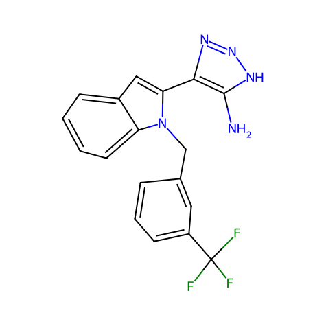 Nc1[nH]nnc1-c1cc2ccccc2n1Cc1cccc(C(F)(F)F)c1